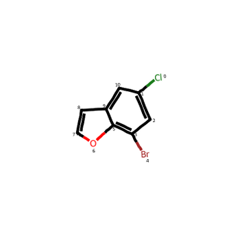 Clc1cc(Br)c2o[c]cc2c1